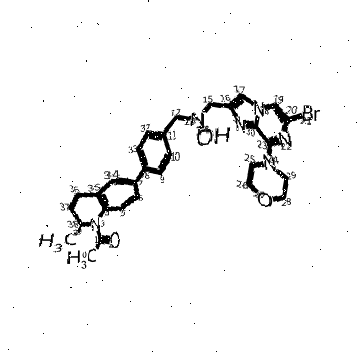 CC(=O)N1c2ccc(-c3ccc(CN(O)Cc4cn5cc(Br)nc(N6CCOCC6)c5n4)cc3)cc2CC[C@@H]1C